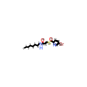 CCCCCCCCNC(=O)C=CSC(=O)c1ccc(Br)cn1